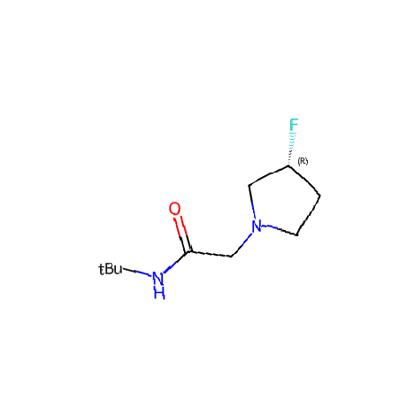 CC(C)(C)NC(=O)CN1CC[C@@H](F)C1